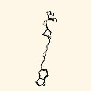 CC(C)(C)C(=O)OC1CN(CCCOCCc2ccc3sccc3c2)C1